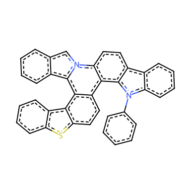 c1ccc(-n2c3ccccc3c3ccc4c(c5ccc6sc7ccccc7c6c5c5c6ccccc6cn45)c32)cc1